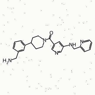 NCc1cccc(C2CCN(C(=O)c3cncc(NCc4ccccn4)c3)CC2)c1